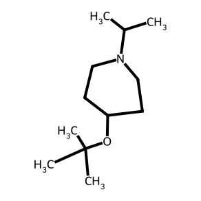 CC(C)N1CCC(OC(C)(C)C)CC1